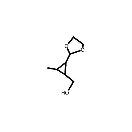 CC1C(CO)C1C1OCCO1